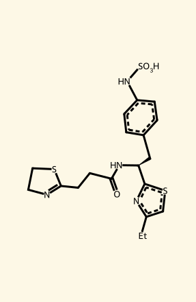 CCc1csc([C@H](Cc2ccc(NS(=O)(=O)O)cc2)NC(=O)CCC2=NCCS2)n1